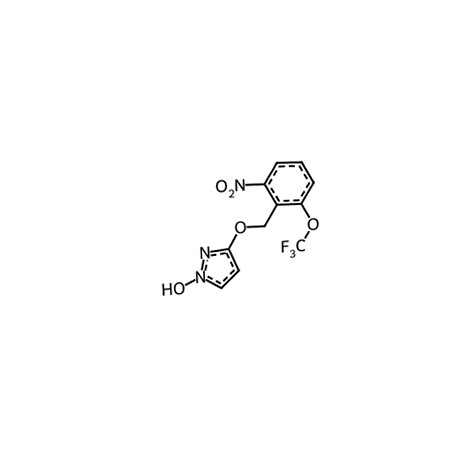 O=[N+]([O-])c1cccc(OC(F)(F)F)c1COc1ccn(O)n1